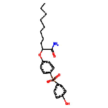 CCCCCCCCC(Oc1ccc(S(=O)(=O)c2ccc(O)cc2)cc1)C(N)=O